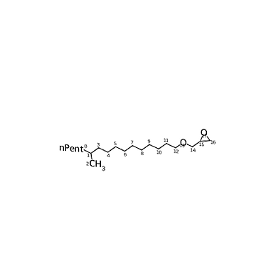 CCCCCC(C)CCCCCCCCCCOCC1CO1